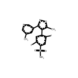 Cc1cncc(-c2noc(C)c2-c2cc(F)c(S(N)(=O)=O)cc2F)c1